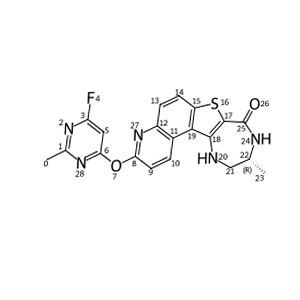 Cc1nc(F)cc(Oc2ccc3c(ccc4sc5c(c43)NC[C@@H](C)NC5=O)n2)n1